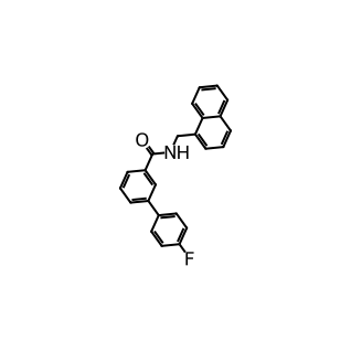 O=C(NCc1cccc2ccccc12)c1cccc(-c2ccc(F)cc2)c1